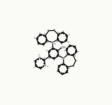 Cc1c(N2c3ccccc3CCc3ccccc32)cc(-c2ncccn2)cc1N1c2ccccc2CCc2ccccc21